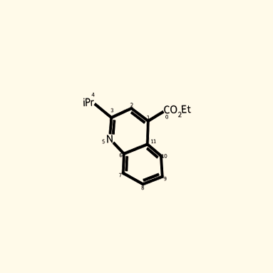 CCOC(=O)c1cc(C(C)C)nc2ccccc12